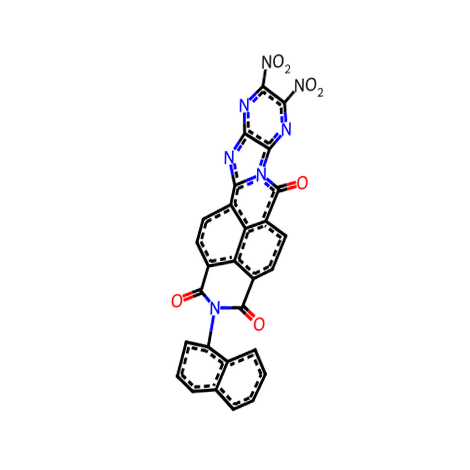 O=C1c2ccc3c(=O)n4c5nc([N+](=O)[O-])c([N+](=O)[O-])nc5nc4c4ccc(c2c34)C(=O)N1c1cccc2ccccc12